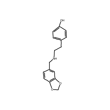 Oc1ccc(CCNCc2ccc3c(c2)OCO3)cc1